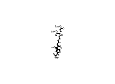 COC(=O)CC[C@H](NCCCCCn1cnc2nc(NC(=O)C(C)(C)C)cc-2c1O)C(=O)OC